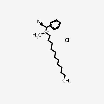 CCCCCCCCCCCC[S+](C)C(C#N)c1ccccc1.[Cl-]